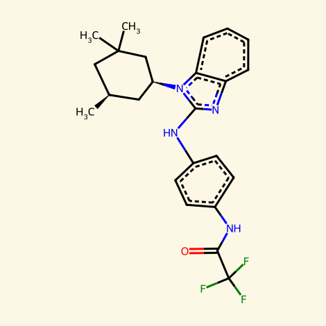 C[C@@H]1C[C@H](n2c(Nc3ccc(NC(=O)C(F)(F)F)cc3)nc3ccccc32)CC(C)(C)C1